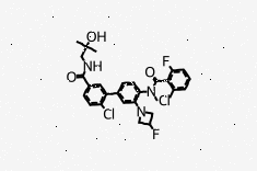 CN(C(=O)c1c(F)cccc1Cl)c1ccc(-c2cc(C(=O)NCC(C)(C)O)ccc2Cl)cc1N1CC(F)C1